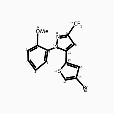 COc1ccccc1-n1nc(C(F)(F)F)cc1-c1cc(Br)cs1